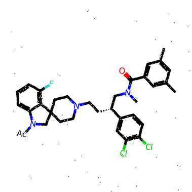 CC(=O)N1CC2(CCN(CC[C@H](CN(C)C(=O)c3cc(C)cc(C)c3)c3ccc(Cl)c(Cl)c3)CC2)c2c(F)cccc21